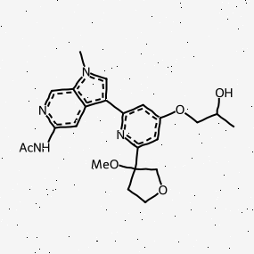 COC1(c2cc(OCC(C)O)cc(-c3cn(C)c4cnc(NC(C)=O)cc34)n2)CCOC1